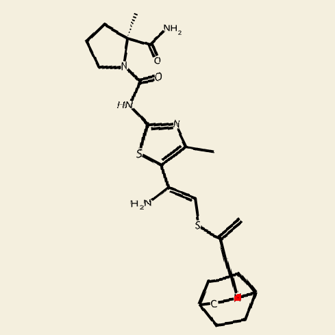 C=C(S/C=C(\N)c1sc(NC(=O)N2CCC[C@@]2(C)C(N)=O)nc1C)N1CC2CCC(CC2)C1